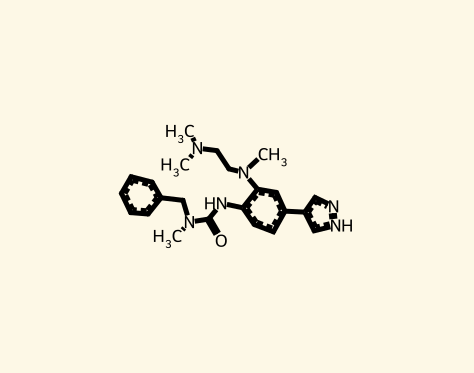 CN(C)CCN(C)c1cc(-c2cn[nH]c2)ccc1NC(=O)N(C)Cc1ccccc1